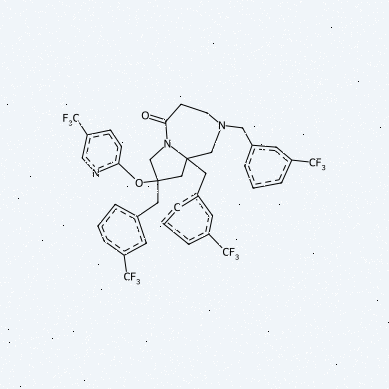 O=C1CCN(Cc2cccc(C(F)(F)F)c2)CC2(Cc3cccc(C(F)(F)F)c3)CC(Cc3cccc(C(F)(F)F)c3)(Oc3ccc(C(F)(F)F)cn3)CN12